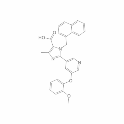 COc1ccccc1Oc1cncc(-c2nc(C)c(C(=O)O)n2Cc2cccc3ccccc23)c1